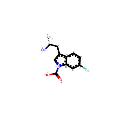 C[C@@H](N)Cc1cn(C(=O)O)c2cc(F)ccc12